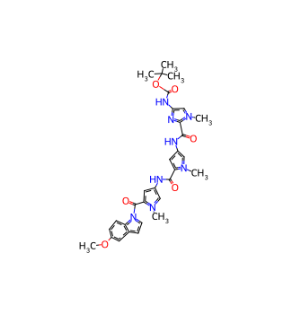 COc1ccc2c(ccn2C(=O)c2cc(NC(=O)c3cc(NC(=O)c4nc(NC(=O)OC(C)(C)C)cn4C)cn3C)cn2C)c1